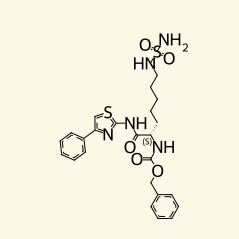 NS(=O)(=O)NCCCCC[C@H](NC(=O)OCc1ccccc1)C(=O)Nc1nc(-c2ccccc2)cs1